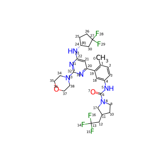 Cc1ccc(NC(=O)N2CCC(CC(F)(F)F)C2)cc1-c1cc(N[C@@H]2CCC(F)(F)C2)nc(N2CCOCC2)n1